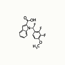 COc1ccc(C(F)n2c(C(=O)O)cc3ccccc32)c(F)c1F